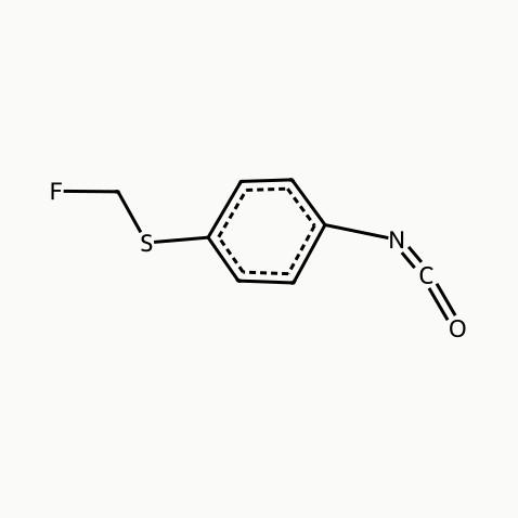 O=C=Nc1ccc(SCF)cc1